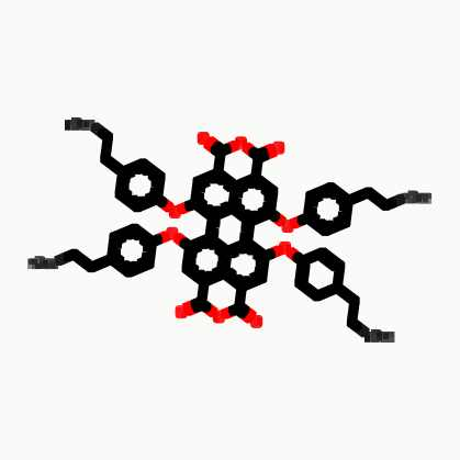 CCCCCCCCCCCCc1ccc(Oc2cc3c4c(cc(OC5=CCC(CCCCCCCCCCCC)C=C5)c5c6c(Oc7ccc(CCCCCCCCCCCC)cc7)cc7c8c(cc(Oc9ccc(CCCCCCCCCCCC)cc9)c(c2c45)c86)C(=O)OC7=O)C(=O)OC3=O)cc1